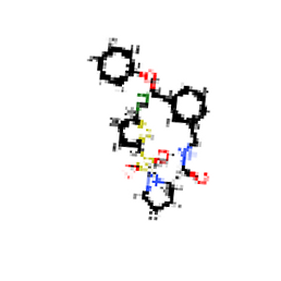 O=C(NCc1cccc(COc2ccccc2)c1)[C@@H]1CCCN1S(=O)(=O)c1ccc(Cl)s1